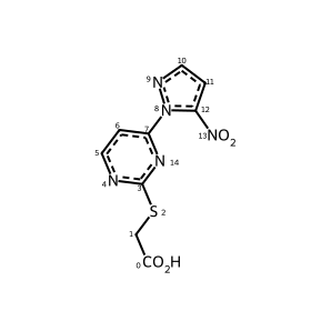 O=C(O)CSc1nccc(-n2nccc2[N+](=O)[O-])n1